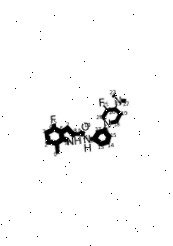 Cc1ccc(F)c2cc(C(=O)Nc3cccc(N4CC[C@@H](N(C)C)[C@@H](F)C4)c3)[nH]c12